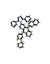 c1ccc(-c2ccc(-c3ccccc3)n2-c2ccc3c(-c4ccc5sc6ccccc6c5c4)c4ccccc4c(-c4ccc5ccccc5c4)c3c2)cc1